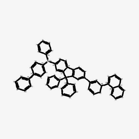 C1=CC(c2ccc3c(c2)C(c2ccccc2)(c2ccccc2)c2cc(N(c4ccccc4)c4ccc(-c5ccccc5)cc4)ccc2-3)=CC(c2cccc3ccccc23)C1